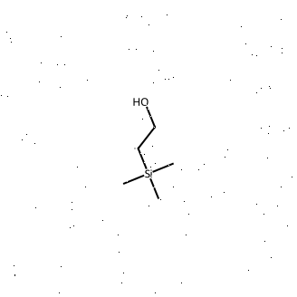 C[Si](C)(C)[CH]CO